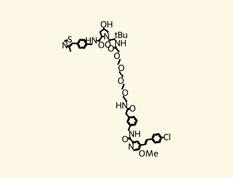 COc1cnc(C(=O)NCc2cccc(CC(=O)NCCOCCOCCOCCOCC(=O)NC(C(=O)N3CC(O)CC3C(=O)NCc3ccc(-c4scnc4C)cc3)C(C)(C)C)c2)cc1C=Cc1ccc(Cl)cc1